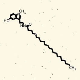 CCCCCCCCCCCCCCCCCCCCCC(=O)NCCc1cn(C)c2ccc(O)cc12